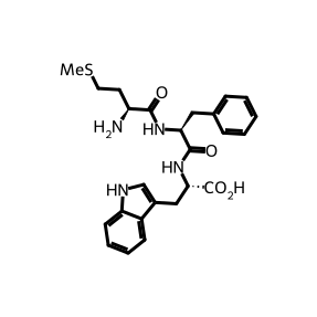 CSCC[C@H](N)C(=O)N[C@@H](Cc1ccccc1)C(=O)N[C@@H](Cc1c[nH]c2ccccc12)C(=O)O